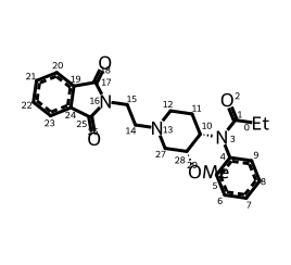 CCC(=O)N(c1ccccc1)[C@H]1CCN(CCN2C(=O)c3ccccc3C2=O)C[C@H]1OC